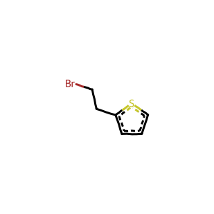 BrCCc1cccs1